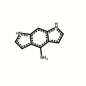 Nc1c2cc[nH]c2cc2[nH]ccc12